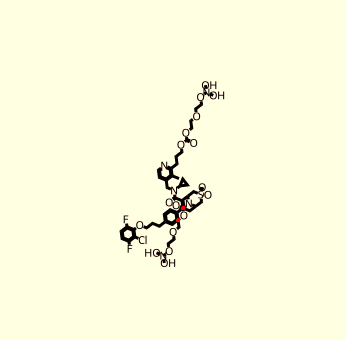 Cc1c(CN(C(=O)C2=C(c3ccc(CCCOc4c(F)ccc(F)c4Cl)cc3)CC3CS(=O)(=O)CC2N3C(=O)OCCOCCON(O)O)C2CC2)ccnc1CCCOC(=O)OCCOCCON(O)O